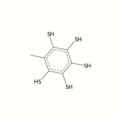 Cc1c(S)c(S)c(S)c(S)c1S